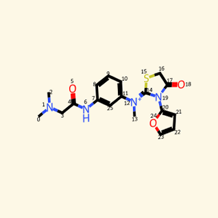 CN(C)CC(=O)Nc1cccc([N+](C)=C2SCC(=O)N2c2ccco2)c1